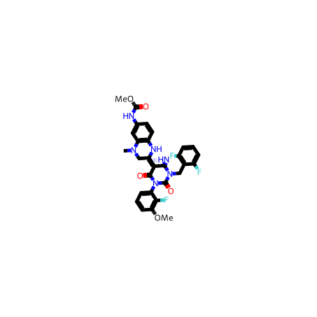 COC(=O)Nc1ccc2c(c1)N(C)C/C(=C1/C(=N)N(Cc3c(F)cccc3F)C(=O)N(c3cccc(OC)c3F)C1=O)N2